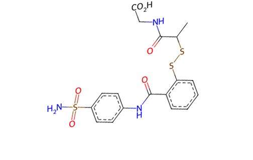 CC(SSc1ccccc1C(=O)Nc1ccc(S(N)(=O)=O)cc1)C(=O)NCC(=O)O